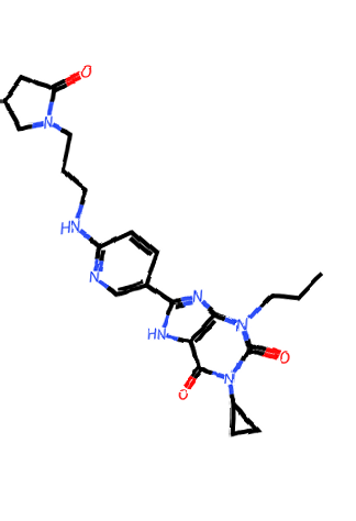 CCCn1c(=O)n(C2CC2)c(=O)c2[nH]c(-c3ccc(NCCCN4CCCC4=O)nc3)nc21